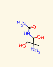 CC(N)(CO)C(O)NC(N)=O